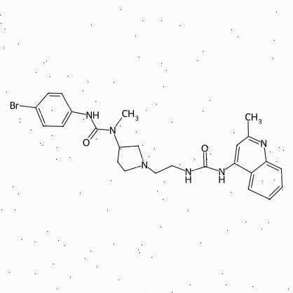 Cc1cc(NC(=O)NCCN2CCC(N(C)C(=O)Nc3ccc(Br)cc3)C2)c2ccccc2n1